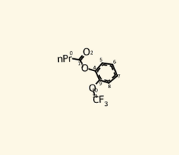 CCCC(=O)Oc1ccccc1OC(F)(F)F